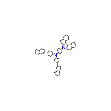 c1ccc2cc(-c3ccc(N(c4ccc(-c5ccc6ccccc6c5)cc4)c4ccc(-n5c6ccc7ccccc7c6c6c7ccccc7ccc65)cc4)cc3)ccc2c1